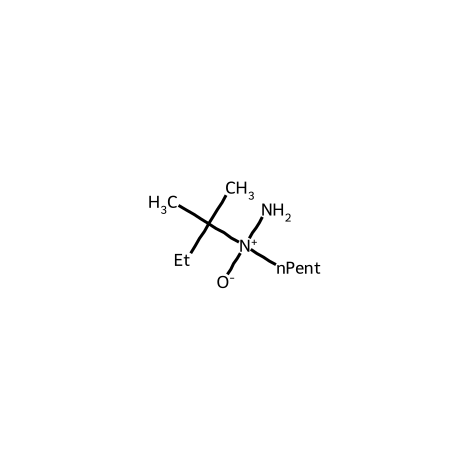 CCCCC[N+](N)([O-])C(C)(C)CC